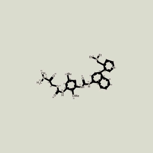 CCN(CC)Cc1ccncc1-c1ccc(NC(=O)Nc2cc(C(C)(C)C)cc(NC(=O)OCC(=O)N(C)C)c2OC)c2ccccc12